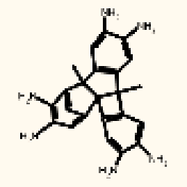 CC12c3cc(N)c(N)cc3C3(C)c4cc(cc(N)c4N)C13c1cc(N)c(N)cc12